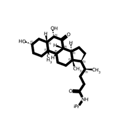 CC(C)NC(=O)CC[C@H](C)[C@@H]1CC[C@@H]2[C@H]3C(=O)[C@@H](O)[C@H]4C[C@@H](O)CC[C@@]4(C)[C@@H]3CC[C@]21C